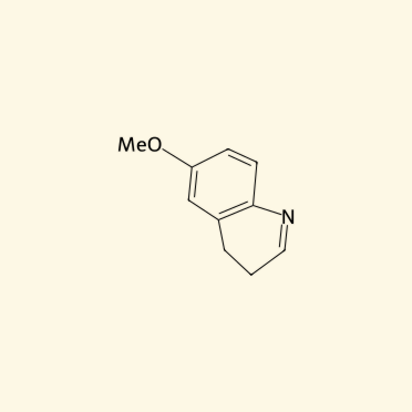 COc1ccc2c(c1)CCC=N2